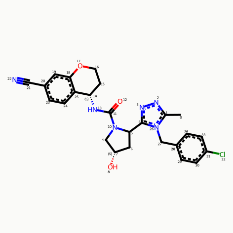 Cc1nnc(C2C[C@H](O)CN2C(=O)N[C@H]2CCOc3cc(C#N)ccc32)n1Cc1ccc(Cl)cc1